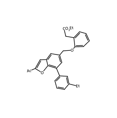 CCOC(=O)Cc1ccccc1OCc1cc(-c2cccc(CC)c2)c2oc(C(C)=O)cc2c1